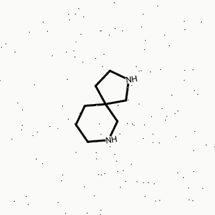 [CH]1NCCC12CCCNC2